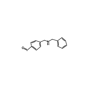 O=[C]c1ccc(CNCc2ccccc2)cc1